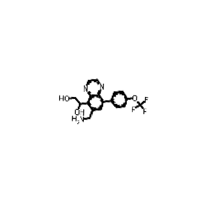 NCc1cc(-c2ccc(OC(F)(F)F)cc2)c2nccnc2c1C(O)CO